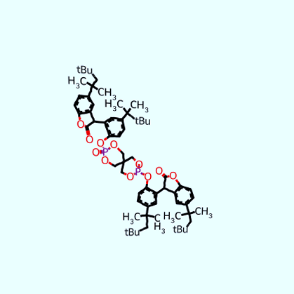 CC(C)(C)CC(C)(C)c1ccc2c(c1)C(c1cc(C(C)(C)CC(C)(C)C)ccc1OP1OCC3(CO1)COP(=O)(Oc1ccc(C(C)(C)C(C)(C)C)cc1C1C(=O)Oc4ccc(C(C)(C)CC(C)(C)C)cc41)OC3)C(=O)O2